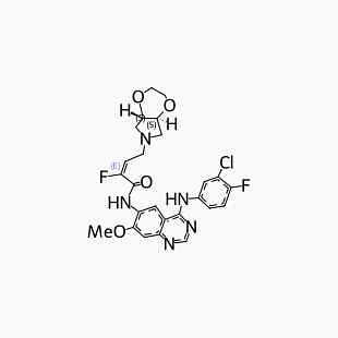 COc1cc2ncnc(Nc3ccc(F)c(Cl)c3)c2cc1NC(=O)/C(F)=C\CN1C[C@@H]2OCCO[C@H]2C1